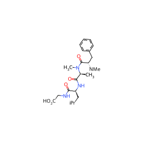 CN[C@@H](Cc1ccccc1)C(=O)N(C)[C@@H](C)C(=O)N[C@@H](CC(C)C)C(=O)NCC(=O)O